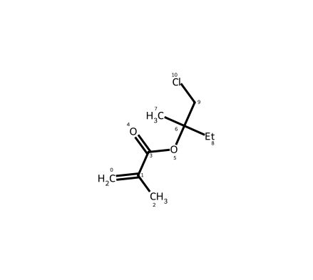 C=C(C)C(=O)OC(C)(CC)CCl